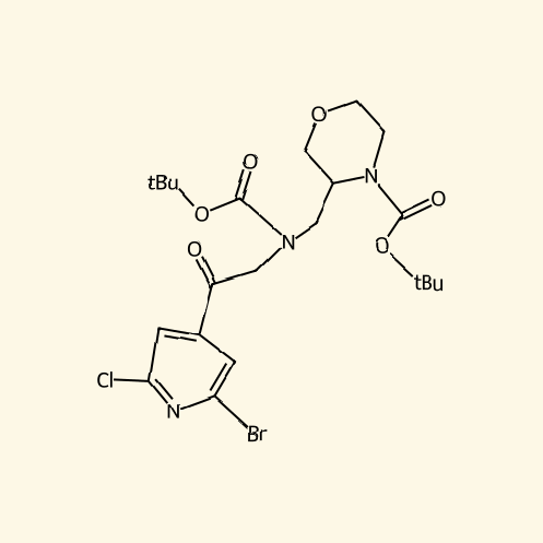 CC(C)(C)OC(=O)N(CC(=O)c1cc(Cl)nc(Br)c1)CC1COCCN1C(=O)OC(C)(C)C